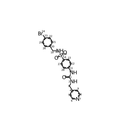 O=C(NCc1ccncc1)Nc1ccc(S(=O)(=O)NCc2ccc(Br)cc2)cc1